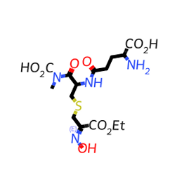 CCOC(=O)/C(CSCC(NC(=O)CCC(N)C(=O)O)C(=O)N(C)C(=O)O)=N\O